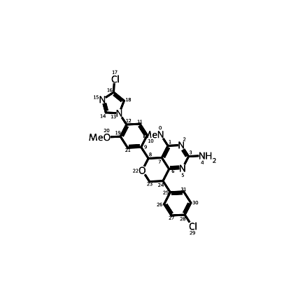 CNc1nc(N)nc2c1C(c1ccc(-n3cnc(Cl)c3)c(OC)c1)OCC2c1ccc(Cl)cc1